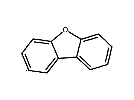 [c]1ccc2oc3ccccc3c2c1